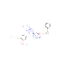 COc1ccc(Cc2nc(N)nn2-c2cc(OCC3CC3c3ccccc3)ncn2)cc1OC